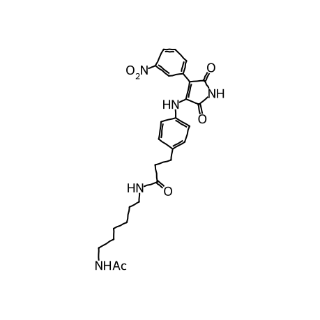 CC(=O)NCCCCCCNC(=O)CCc1ccc(NC2=C(c3cccc([N+](=O)[O-])c3)C(=O)NC2=O)cc1